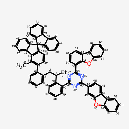 CCC(Cc1ccccc1-c1ccc2c(c1C)-c1ccccc1C21c2ccccc2-c2ccccc21)c1ccccc1-c1nc(-c2ccc3c(c2)oc2ccccc23)nc(-c2cccc3c2oc2ccccc23)n1